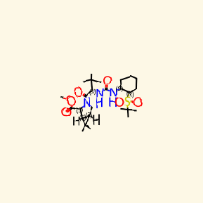 COC(=O)[C@@H]1[C@@H]2[C@H](CN1C(=O)[C@@H](NC(=O)N[C@H]1CCCC[C@H]1S(=O)(=O)C(C)(C)C)C(C)(C)C)C2(C)C